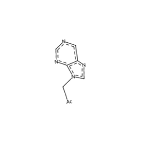 CC(=O)Cn1cnc2cncnc21